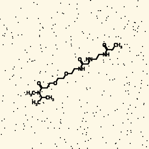 CCC(=O)NCCNCC(=O)NCCOCCOCCC(=O)N(C)C(C)C